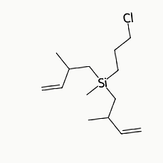 C=CC(C)C[Si](C)(CCCCl)CC(C)C=C